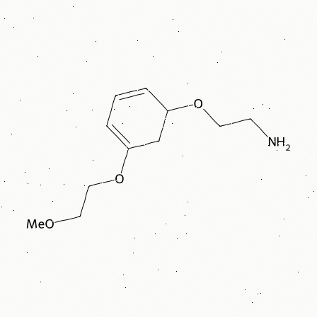 COCCOC1=CC=CC(OCCN)C1